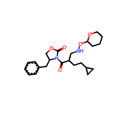 O=C1OCC(Cc2ccccc2)N1C(=O)C(CCC1CC1)CNOC1CCCCO1